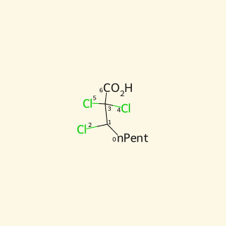 CCCCCC(Cl)C(Cl)(Cl)C(=O)O